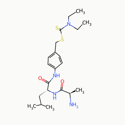 CCN(CC)C(=S)SCc1ccc(NC(=O)[C@@H](CC(C)C)NC(=O)[C@@H](C)N)cc1